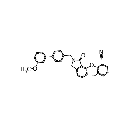 COc1cccc(-c2ccc(CN3Cc4cccc(Oc5c(F)cccc5C#N)c4C3=O)cc2)c1